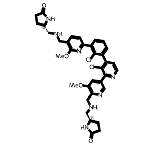 COc1cc(-c2nccc(-c3cccc(-c4ccc(CNC[C@@H]5CCC(=O)N5)c(OC)n4)c3Cl)c2Cl)cnc1CNC[C@H]1CCC(=O)N1